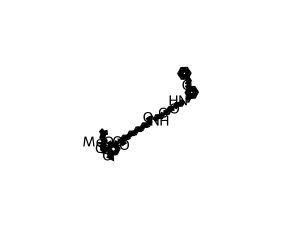 COC1C(OC(=O)/C=C/C=C/C=C/C=C/C(=O)NCCOCCOCCNCc2cccc(OCc3ccccc3)c2)CCC2(CO2)C1C1(C)OC1CC=C(C)C